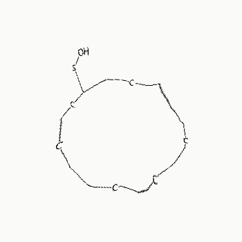 OSC1CCCCCCCCCCCCCCC1